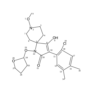 CON1CCC2(CC1)C(O)=C(c1cc(C)c(C)cc1Cl)C(=O)N2OC1CCCO1